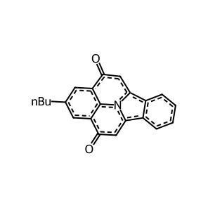 CCCCc1cc2c(=O)cc3c4ccccc4c4cc(=O)c(c1)c2n34